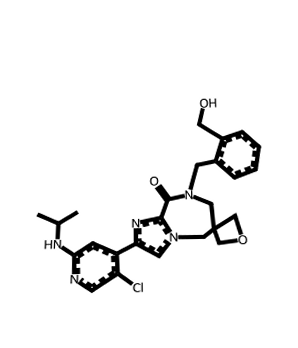 CC(C)Nc1cc(-c2cn3c(n2)C(=O)N(Cc2ccccc2CO)CC2(COC2)C3)c(Cl)cn1